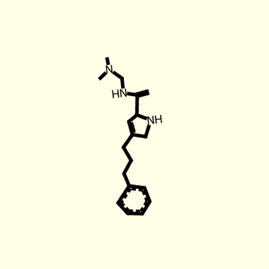 C=C(NCN(C)C)C1C=C(CCCc2ccccc2)CN1